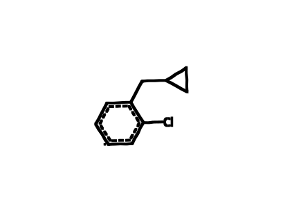 Clc1c[c]ccc1CC1CC1